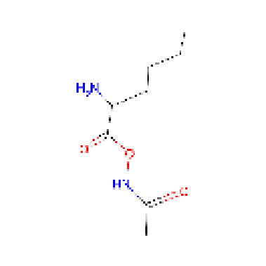 CCCCC(N)C(=O)ONC(C)=O